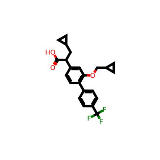 O=C(O)C(CC1CC1)c1ccc(-c2ccc(C(F)(F)F)cc2)c(OCC2CC2)c1